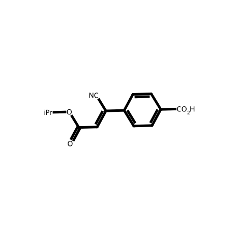 CC(C)OC(=O)C=C(C#N)c1ccc(C(=O)O)cc1